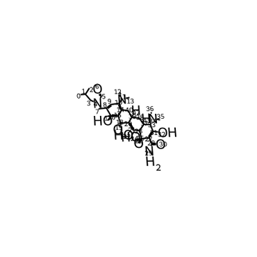 CC(C)CN(C=O)Cc1cc(N(C)C)c2c(c1O)C(=O)C1=C(O)[C@]3(O)C(=O)C(C(N)=O)=C(O)C(N(C)C)[C@H]3C[C@H]1C2